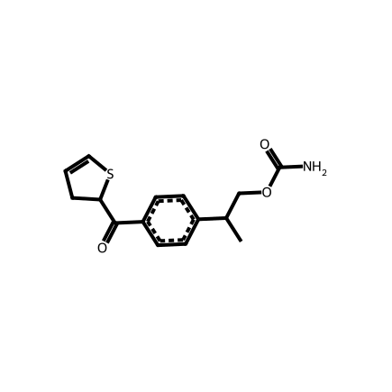 CC(COC(N)=O)c1ccc(C(=O)C2CC=CS2)cc1